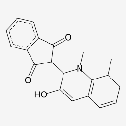 CC1CC=CC2=C1N(C)C(C1C(=O)c3ccccc3C1=O)C(O)=C2